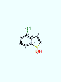 O[SH]1C=Cc2c(Cl)cccc21